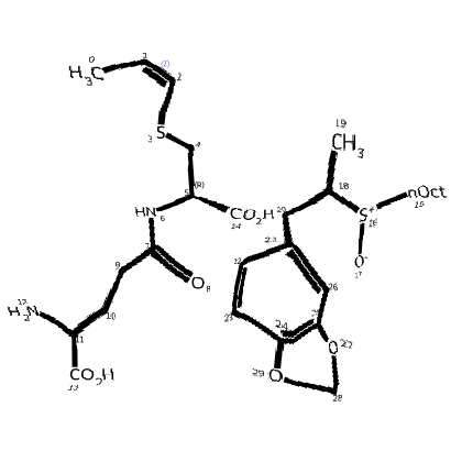 C/C=C\SC[C@H](NC(=O)CCC(N)C(=O)O)C(=O)O.CCCCCCCC[S+]([O-])C(C)Cc1ccc2c(c1)OCO2